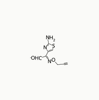 C#CCO/N=C(/[C]=O)c1csc(N)n1